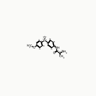 COc1ccc([S+]([O-])c2ccc(NC(=O)C(C)N)cc2)cc1